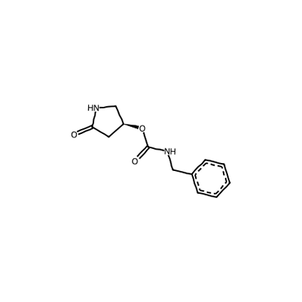 O=C1C[C@H](OC(=O)NCc2ccccc2)CN1